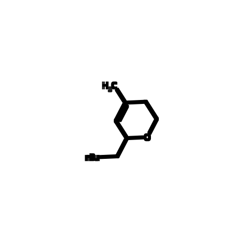 CCCCCC1C=C(C)CCO1